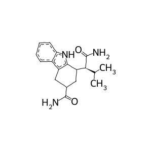 CC(C)[C@H](C(N)=O)C1CC(C(N)=O)Cc2c1[nH]c1ccccc21